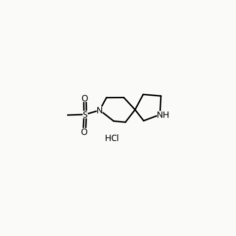 CS(=O)(=O)N1CCC2(CCNC2)CC1.Cl